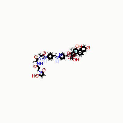 C[C@H](NC(=O)CCN1C(=O)C=CC1O)C(=O)N[C@@H](C)C(=O)Nc1ccc(CNc2ccc([C@@H]3O[C@@H]4C[C@H]5[C@@H]6CCC7=CC(=O)C=C[C@]7(C)[C@@]6(F)[C@@H](O)C[C@]5(C)[C@]4(C(=O)CO)O3)cn2)cc1